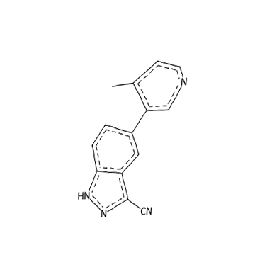 Cc1ccncc1-c1ccc2[nH]nc(C#N)c2c1